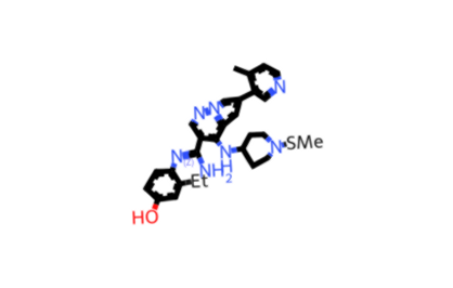 CCc1cc(O)ccc1/N=C(\N)c1cnn2cc(-c3cnccc3C)cc2c1NC1CCN(SC)CC1